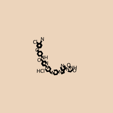 Cl.N#Cc1ccc(OC2CCC(NC(=O)c3ccc(N4CCC(CN5CCC(n6ccc7c(N8CCC(=O)NC8=O)cncc76)CC5)CC4)nc3)CC2)cc1Cl